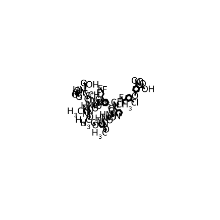 COc1cc(OC)nc(NC(=O)NS(=O)(=O)c2ncccc2C(=O)N(C)C)n1.COc1nc(C)nc(NC(=O)NS(=O)(=O)c2ccccc2CCC(F)(F)F)n1.C[S+](C)C.O=C(O)CNCP(=O)([O-])O.O=C(O)c1cc(Oc2ccc(C(F)(F)F)cc2Cl)ccc1[N+](=O)[O-]